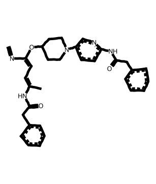 C=N/C(=C\C=C(/C)NC(=O)Cc1ccccc1)OC1CCN(c2ccc(NC(=O)Cc3ccccc3)nc2)CC1